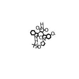 COc1ccc2c(c1)c(C1=C(c3c(Cl)[nH]c4ccccc34)C(=O)NC1=O)cn2C1C=C[C@@H](O[Si](C)(C)C(C)(C)C)C1